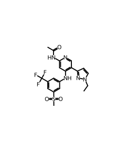 CCn1ccc(-c2cnc(NC(C)=O)cc2Nc2cc(C(F)(F)F)cc(S(C)(=O)=O)c2)n1